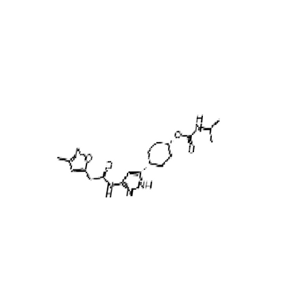 Cc1cc(CC(=O)Nc2cc([C@H]3CC[C@@H](OC(=O)NC(C)C)CC3)[nH]n2)on1